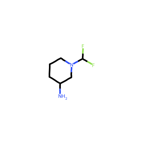 NC1CCCN(C(F)F)C1